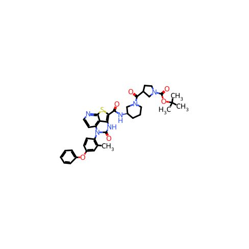 Cc1cc(Oc2ccccc2)ccc1N1C(=O)Nc2c(C(=O)N[C@@H]3CCCN(C(=O)C4CCN(C(=O)OC(C)(C)C)C4)C3)sc3nccc1c23